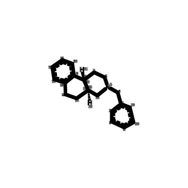 c1ccc(CN2CC[C@H]3c4ccccc4CC[C@@H]3C2)cc1